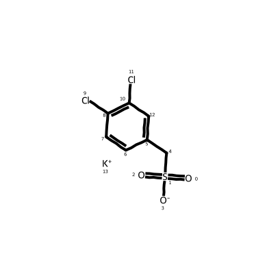 O=S(=O)([O-])Cc1ccc(Cl)c(Cl)c1.[K+]